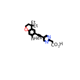 CCCCCCc1cc2c(cc1C#Cc1cnc(CC(=O)O)nc1)C(CC)(CC)CCO2